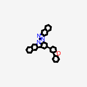 c1ccc2cc3c(cc2c1)nc1n3c2cc(-c3ccc4oc5ccccc5c4c3)cc3c4cc5ccccc5cc4n1c32